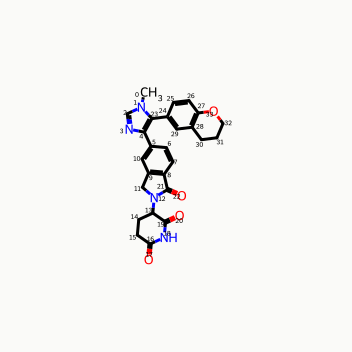 Cn1cnc(-c2ccc3c(c2)CN(C2CCC(=O)NC2=O)C3=O)c1-c1ccc2c(c1)CCCO2